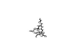 CCOCN(CCC[Si](OCC)(OCC)OCC)CC(=O)OCC